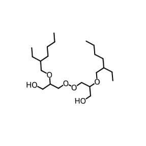 CCCCC(CC)COC(CO)COOCC(CO)OCC(CC)CCCC